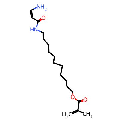 C=C(C)C(=O)OCCCCCCCCCCCNC(=O)/C=C\N